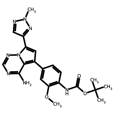 COc1cc(-c2cc(-c3cnn(C)n3)n3ncnc(N)c23)ccc1NC(=O)OC(C)(C)C